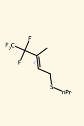 CC[CH]SC/C=C(\C)C(F)(F)C(F)(F)F